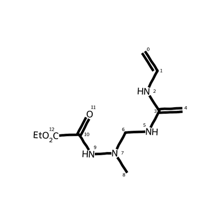 C=CNC(=C)NCN(C)NC(=O)C(=O)OCC